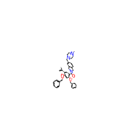 C=C(C)c1cc(C(=O)N2Cc3ccc(CN4CCN(C)CC4)cc3C2)c(OCc2ccccc2)cc1OCc1ccccc1